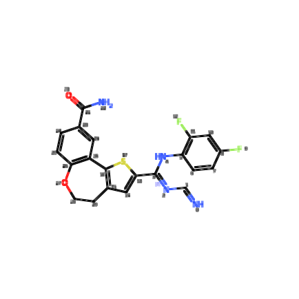 N=C/N=C(\Nc1ccc(F)cc1F)c1cc2c(s1)-c1cc(C(N)=O)ccc1OCC2